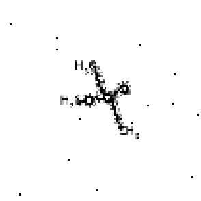 C=Cc1ccc(C=Cc2cc(OCCCCCCCC)c(C=Cc3ccccc3)cc2OCCCCCCCC)cc1